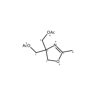 CC(=O)OCC1(COC(C)=O)COC(C)=N1